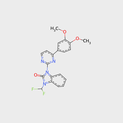 COc1ccc(-c2ccnc(-n3c(=O)n(C(F)F)c4ccccc43)n2)cc1OC